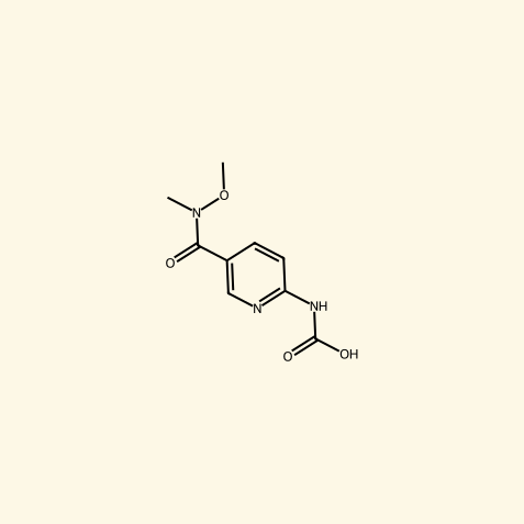 CON(C)C(=O)c1ccc(NC(=O)O)nc1